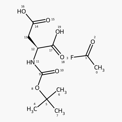 CC(=O)F.CC(C)(C)OC(=O)N[C@@H](CC(=O)O)C(=O)O